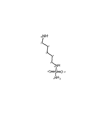 [NH]CCCCCNS(N)(=O)=O